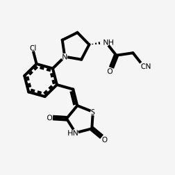 N#CCC(=O)N[C@H]1CCN(c2c(Cl)cccc2C=C2SC(=O)NC2=O)C1